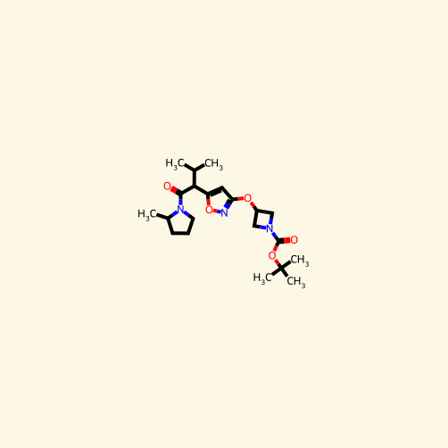 CC(C)C(C(=O)N1CCCC1C)c1cc(OC2CN(C(=O)OC(C)(C)C)C2)no1